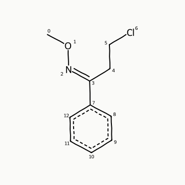 CON=C(CCCl)c1ccccc1